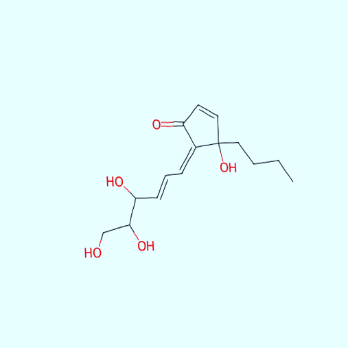 CCCCC1(O)C=CC(=O)C1=CC=CC(O)C(O)CO